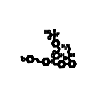 COc1ccc(/C=C/c2ccc(N(Cc3ccc(-c4ccccc4C(=O)NCCN)cc3)C(=O)CNC(=O)Cc3ccccc3)cc2)cc1.O=C(O)C(F)(F)F